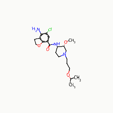 CO[C@@H]1CN(CCCOC(C)C)CC[C@@H]1NC(=O)c1cc(Cl)c(N)c2c1OCC2